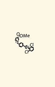 COC(=O)[C@H]1CCN(Cc2ccc(C3CN(c4c(Cl)cccc4Cl)C3)cc2)C1